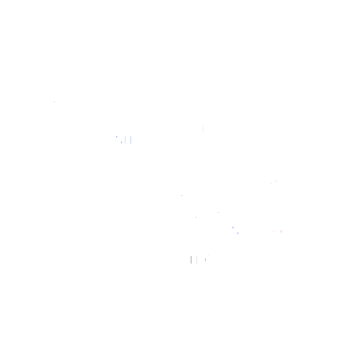 CC[n+]1c(C=CC=CC=C2Nc3ccccc3S2)sc2c1OCC=C2.[I-]